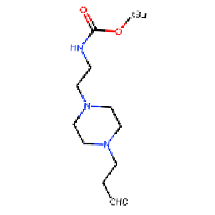 CC(C)(C)OC(=O)NCCN1CCN(CCC=O)CC1